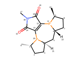 C[C@H]1CC[C@@H]2C[C@H]3CC[C@H](C)P3C3=C(C(=O)N(C)C3=O)P21